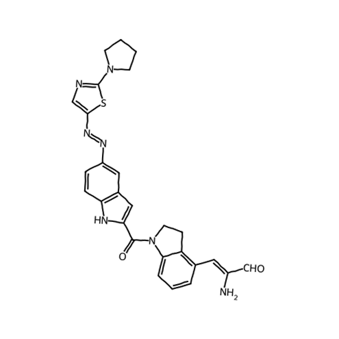 N/C(C=O)=C\c1cccc2c1CCN2C(=O)c1cc2cc(/N=N/c3cnc(N4CCCC4)s3)ccc2[nH]1